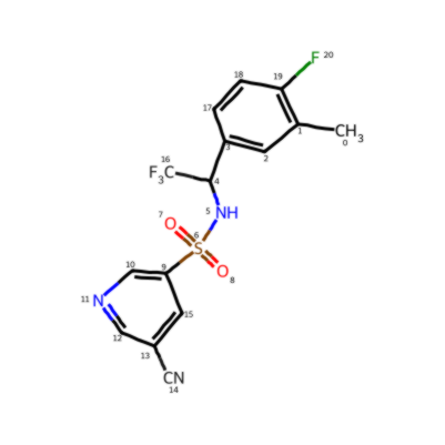 Cc1cc(C(NS(=O)(=O)c2cncc(C#N)c2)C(F)(F)F)ccc1F